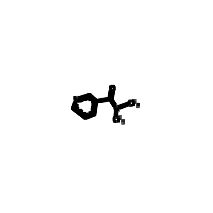 O=C(c1cccnc1)N(C(F)(F)F)C(F)(F)F